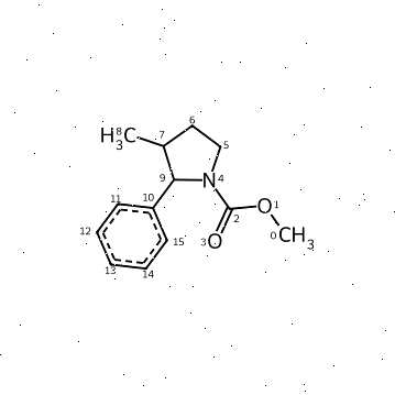 COC(=O)N1CCC(C)C1c1ccccc1